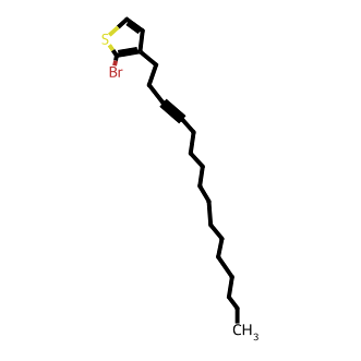 CCCCCCCCCCCCC#CCCc1ccsc1Br